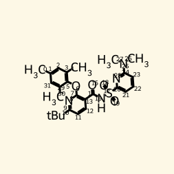 Cc1cc(C)c(Oc2nc(C(C)(C)C)ccc2C(=O)NS(=O)(=O)c2cccc(N(C)C)n2)c(C)c1